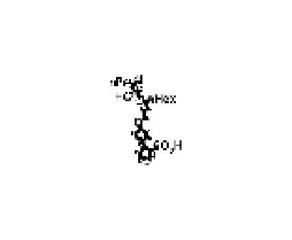 CCCCCCC(CCCOc1ccc(-c2ccccc2C(=O)O)cc1)OC[C@H](O)[C@H](Cl)CCC